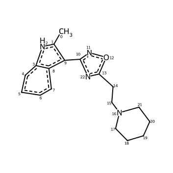 Cc1[nH]c2ccccc2c1-c1noc(CCN2CCCCC2)n1